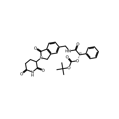 CC(C)(C)OC(=O)O[C@H](C(=O)NCc1ccc2c(c1)CN(C1CCC(=O)NC1=O)C2=O)c1ccccc1